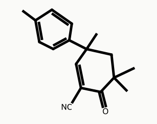 Cc1ccc(C2(C)C=C(C#N)C(=O)C(C)(C)C2)cc1